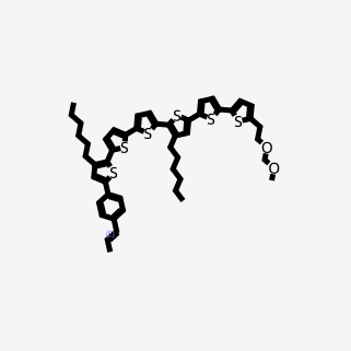 C/C=C/c1ccc(-c2cc(CCCCCC)c(-c3ccc(-c4ccc(-c5sc(-c6ccc(-c7ccc(CCOCOC)s7)s6)cc5CCCCCC)s4)s3)s2)cc1